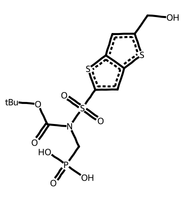 CC(C)(C)OC(=O)N(CP(=O)(O)O)S(=O)(=O)c1cc2sc(CO)cc2s1